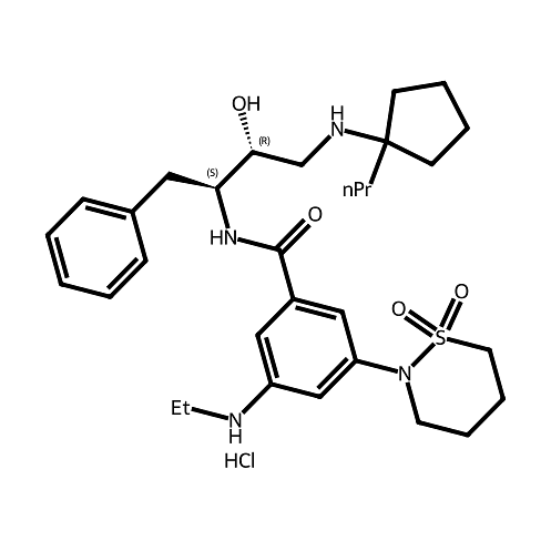 CCCC1(NC[C@@H](O)[C@H](Cc2ccccc2)NC(=O)c2cc(NCC)cc(N3CCCCS3(=O)=O)c2)CCCC1.Cl